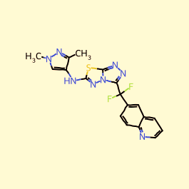 Cc1nn(C)cc1Nc1nn2c(C(F)(F)c3ccc4ncccc4c3)nnc2s1